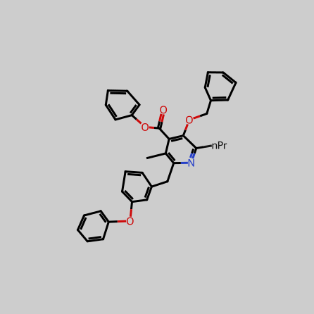 CCCc1nc(Cc2cccc(Oc3ccccc3)c2)c(C)c(C(=O)Oc2ccccc2)c1OCc1ccccc1